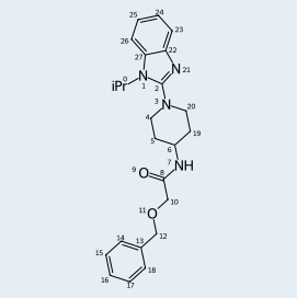 CC(C)n1c(N2CCC(NC(=O)COCc3ccccc3)CC2)nc2ccccc21